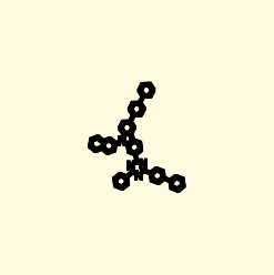 c1ccc(-c2ccc(-c3ccc4c(c3)c3ccc(-c5nc(-c6ccccc6)nc(-c6ccc(-c7ccccc7)cc6)n5)cc3n4-c3ccc4ccccc4c3)cc2)cc1